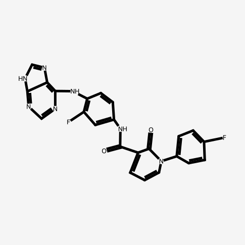 O=C(Nc1ccc(Nc2ncnc3[nH]cnc23)c(F)c1)c1cccn(-c2ccc(F)cc2)c1=O